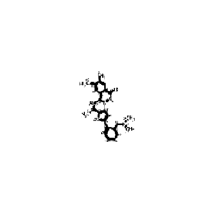 Cc1cc2c(Cl)nnc(N[C@H](C)c3ccc(-c4ccccc4CN(C)C)s3)c2cc1C